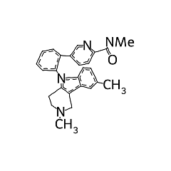 CNC(=O)c1ccc(-c2ccccc2-n2c3c(c4cc(C)ccc42)CN(C)CC3)cn1